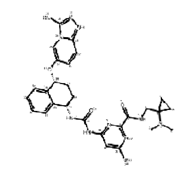 CN(C)C1(CNC(=O)c2nc(NC(=O)N[C@H]3CC[C@@H](Oc4ccc5nnc(C(C)(C)C)n5c4)c4ccccc43)cc(C(C)(C)C)n2)CC1